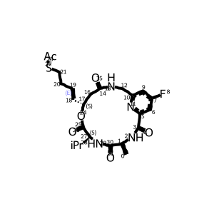 C=C1NC(=O)c2cc(F)cc(n2)CNC(=O)C[C@@H](/C=C/CCSC(C)=O)OC(=O)[C@H](C(C)C)NC1=O